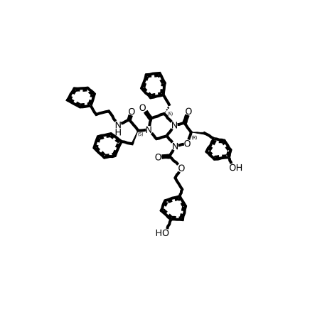 O=C(NCCc1ccccc1)[C@H](Cc1ccccc1)N1CC2N(C(=O)OCCc3ccc(O)cc3)O[C@H](Cc3ccc(O)cc3)C(=O)N2[C@@H](Cc2ccccc2)C1=O